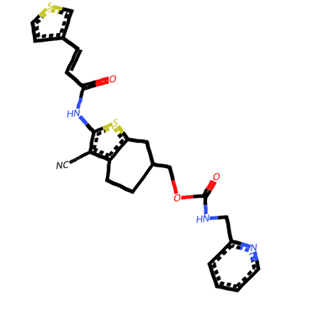 N#Cc1c(NC(=O)C=Cc2ccsc2)sc2c1CCC(COC(=O)NCc1ccccn1)C2